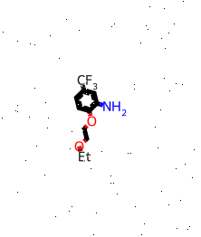 CCOCCOc1ccc(C(F)(F)F)cc1N